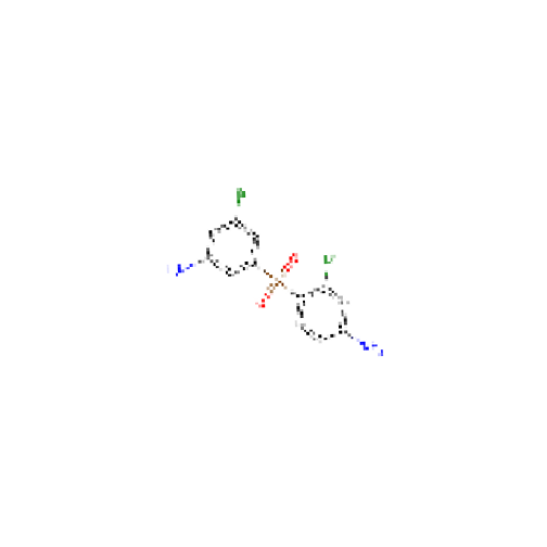 Nc1cc(Br)cc(S(=O)(=O)c2ccc(N)cc2Br)c1